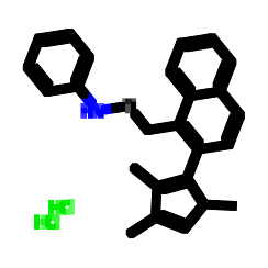 CC1=CC(C)C(c2ccc3ccccc3c2[CH2][Ti][NH]c2ccccc2)=C1C.Cl.Cl